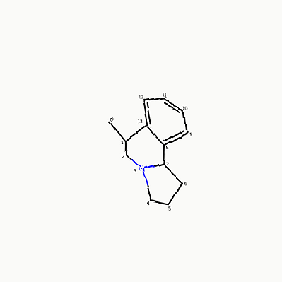 CC1CN2CCCC2c2ccccc21